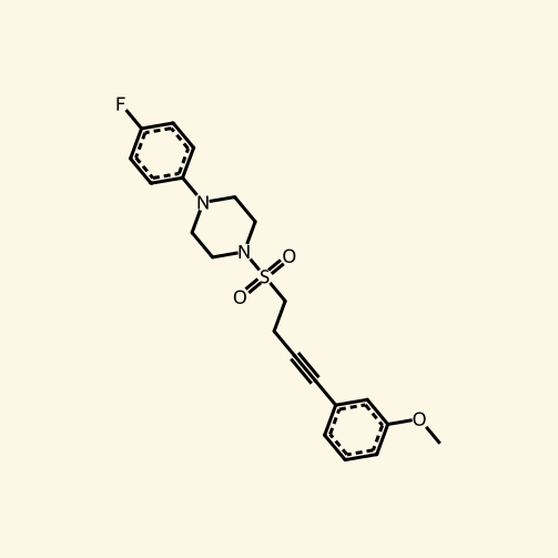 COc1cccc(C#CCCS(=O)(=O)N2CCN(c3ccc(F)cc3)CC2)c1